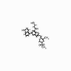 C[C@H]1CN(S(C)(=O)=O)CCN1Cc1cc2nc(-c3cccc4[nH]ncc34)nc(NCCO)c2s1